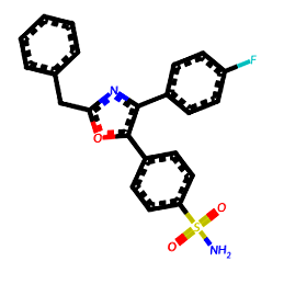 NS(=O)(=O)c1ccc(-c2oc(Cc3ccccc3)nc2-c2ccc(F)cc2)cc1